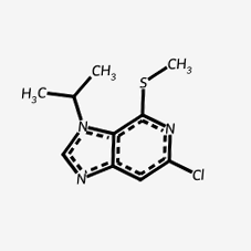 CSc1nc(Cl)cc2ncn(C(C)C)c12